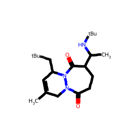 CC1=CC(CC(C)(C)C)N2C(=O)C(C(C)NC(C)(C)C)CCC(=O)N2C1